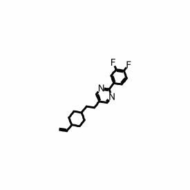 C=CC1CCC(CCc2cnc(-c3ccc(F)c(F)c3)nc2)CC1